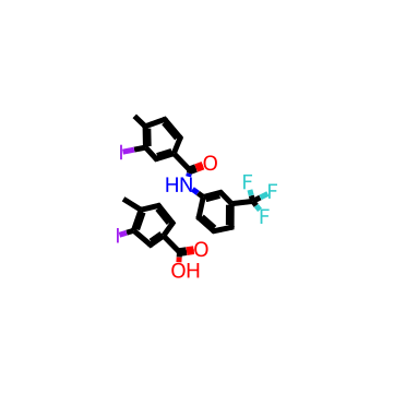 Cc1ccc(C(=O)Nc2cccc(C(F)(F)F)c2)cc1I.Cc1ccc(C(=O)O)cc1I